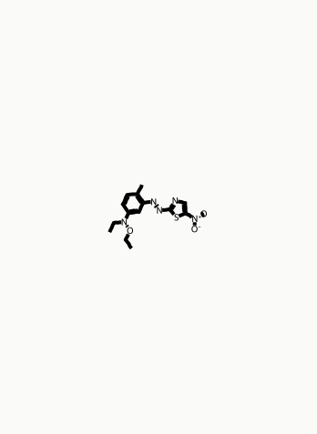 CCON(CC)c1ccc(C)c(N=Nc2ncc([N+](=O)[O-])s2)c1